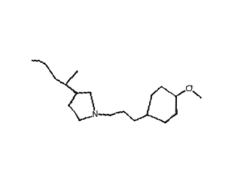 CCCC(C)C1CCN(CCCC2CCC(OC)CC2)C1